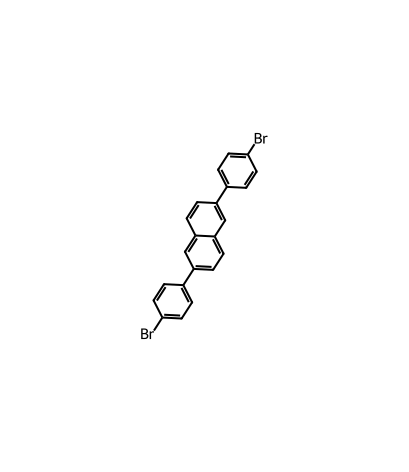 Brc1ccc(-c2ccc3cc(-c4ccc(Br)cc4)ccc3c2)cc1